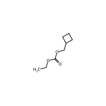 CCOC(=O)O[CH]C1CCC1